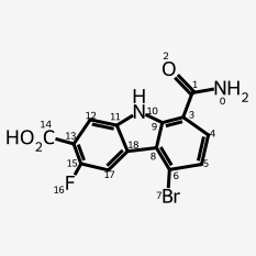 NC(=O)c1ccc(Br)c2c1[nH]c1cc(C(=O)O)c(F)cc12